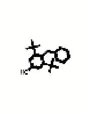 CC(C)(C)c1cc(O)cc(C(C)(C)C)c1Cc1ccccc1